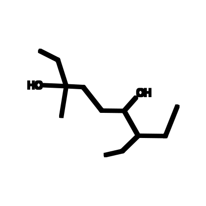 CCC(CC)C(O)CCC(C)(O)CC